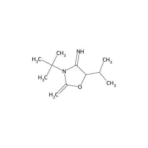 C=C1OC(C(C)C)C(=N)N1C(C)(C)C